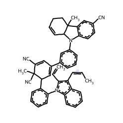 C=Cc1c(/C=C\C)c2ccccc2n1-c1ccccc1C1C=C(c2cccc(N3c4ccc(C#N)cc4C4(C)CCC=CC34)c2)C=C(C#N)C1(C)C#N